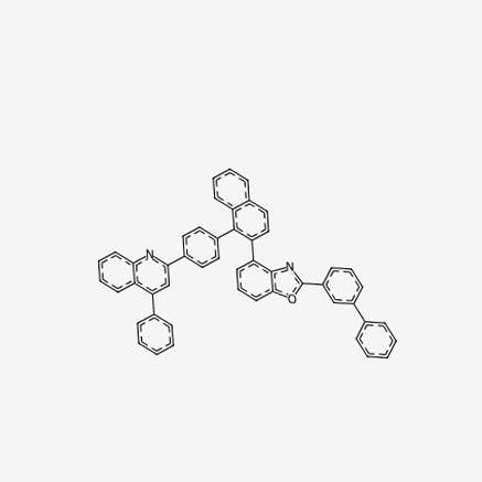 c1ccc(-c2cccc(-c3nc4c(-c5ccc6ccccc6c5-c5ccc(-c6cc(-c7ccccc7)c7ccccc7n6)cc5)cccc4o3)c2)cc1